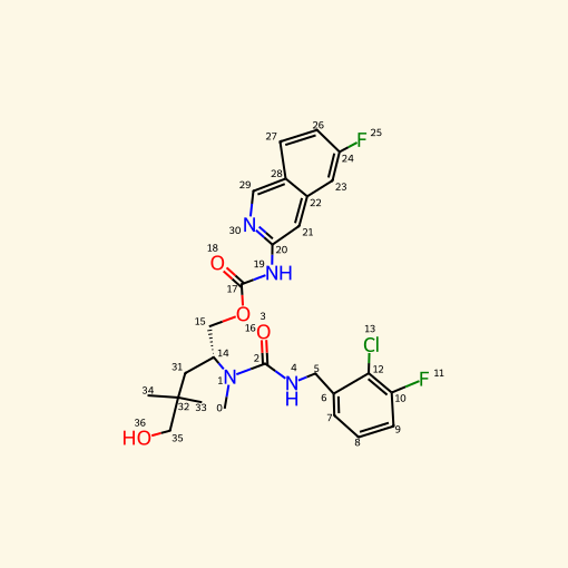 CN(C(=O)NCc1cccc(F)c1Cl)[C@@H](COC(=O)Nc1cc2cc(F)ccc2cn1)CC(C)(C)CO